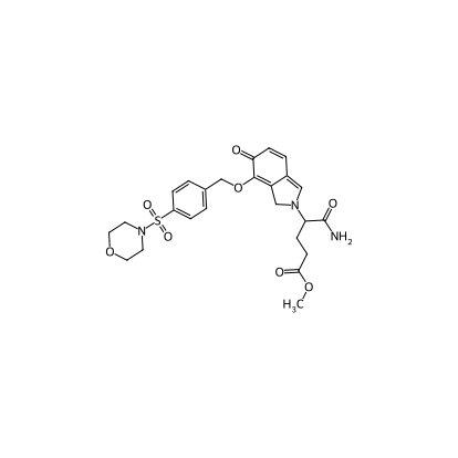 COC(=O)CCC(C(N)=O)N1C=C2C=CC(=O)C(OCc3ccc(S(=O)(=O)N4CCOCC4)cc3)=C2C1